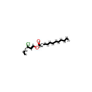 CC=C=C(Cl)C=COC(=O)CCCCCCCCCCC